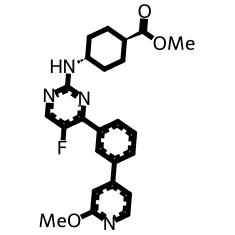 COc1cc(-c2cccc(-c3nc(N[C@H]4CC[C@H](C(=O)OC)CC4)ncc3F)c2)ccn1